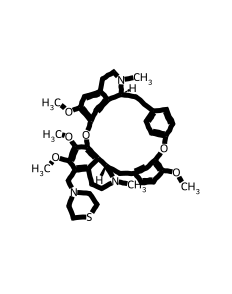 COc1ccc2cc1Oc1ccc(cc1)C[C@H]1c3cc(c(OC)cc3CCN1C)Oc1c(OC)c(OC)c(CN3CCSCC3)c3c1[C@H](C2)N(C)CC3